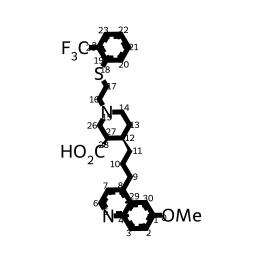 COc1ccc2nccc(CCC[C@@H]3CCN(CCSc4ccccc4C(F)(F)F)C[C@@H]3C(=O)O)c2c1